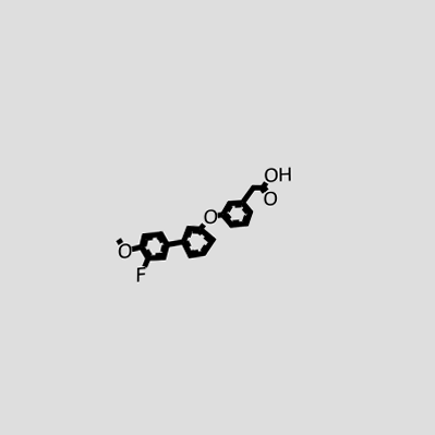 COc1ccc(-c2cccc(Oc3cccc(CC(=O)O)c3)c2)cc1F